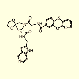 O=C(NCC(=O)N1CC2(C[C@H]1C(=O)NCc1cc3cnccc3[nH]1)OCCO2)c1ccc2c(c1)Oc1ccccc1S2